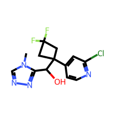 Cn1cnnc1C(O)C1(c2ccnc(Cl)c2)CC(F)(F)C1